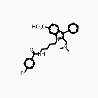 CC(C)c1ccc(C(=O)NCCCCn2c(CN(C)C)c(-c3ccccc3)c3ccc(C(=O)O)cc32)cc1